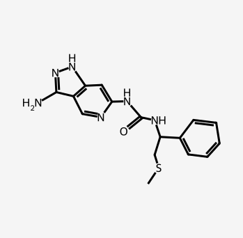 CSCC(NC(=O)Nc1cc2[nH]nc(N)c2cn1)c1ccccc1